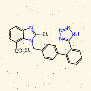 CCOC(=O)c1cccc2nc(CC)n(Cc3ccc(-c4ccccc4-c4nnn[nH]4)cc3)c12